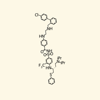 CC(C)N(CC[C@H](CSc1ccccc1)Nc1ccc(S(=O)(=O)NC(=O)c2ccc(NCCNCc3ccccc3-c3ccc(Cl)cc3)cc2)cc1C(F)(F)F)C(C)C